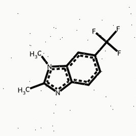 Cc1nc2ccc(C(F)(F)F)cc2n1C